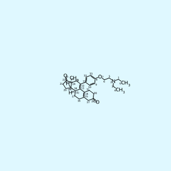 CCN(CC)CCOc1ccc(C2=C3C4=C(CC[C@H]3[C@@H]3CCC(=O)[C@@]3(C)C2)CC(=O)CC4)cc1